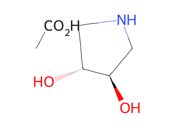 CC(=O)O.O[C@@H]1CNC[C@H]1O